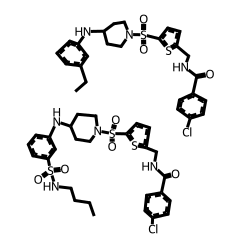 CCCCNS(=O)(=O)c1cccc(NC2CCN(S(=O)(=O)c3ccc(CNC(=O)c4ccc(Cl)cc4)s3)CC2)c1.CCc1cccc(NC2CCN(S(=O)(=O)c3ccc(CNC(=O)c4ccc(Cl)cc4)s3)CC2)c1